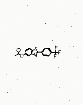 CC(=O)Oc1ccc2sc(-c3ccc(C(F)(F)F)cc3)nc2c1